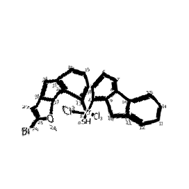 [SH][Zr]([Cl])([Cl])([c]1cccc2c1Cc1ccccc1-2)[c]1cccc2c1C1OC(Br)=CC1=C2